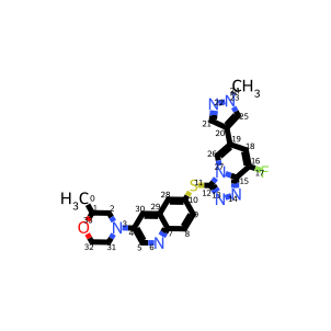 CC1CN(c2cnc3ccc(Sc4nnc5c(F)cc(-c6cnn(C)c6)cn45)cc3c2)CCO1